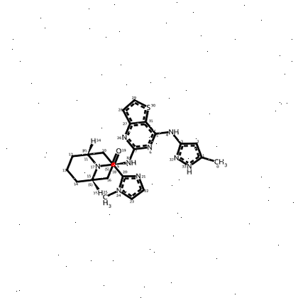 Cc1cc(Nc2nc(N[C@@H]3C[C@H]4CCC[C@@H](C3)N4C(=O)c3nccn3C)nc3ccsc23)n[nH]1